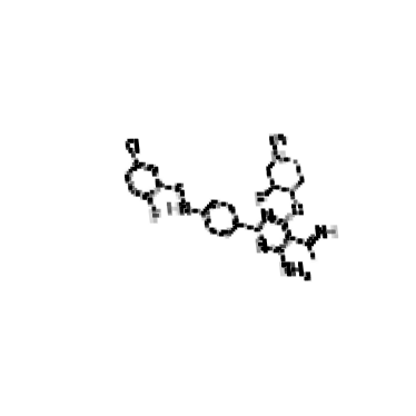 CC(=N)c1c(N)nc(-c2ccc(NSc3cc(Cl)ccc3F)cc2)nc1OC1CCN(C(C)C)C[C@@H]1F